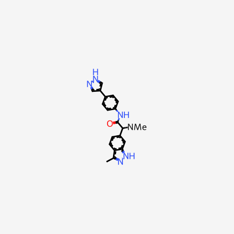 CNC(C(=O)Nc1ccc(-c2cn[nH]c2)cc1)c1ccc2c(C)n[nH]c2c1